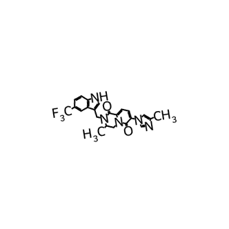 Cc1cn(-c2ccc3n(c2=O)CC(C)N(Cc2c[nH]c4ccc(C(F)(F)F)cc24)C3=O)cn1